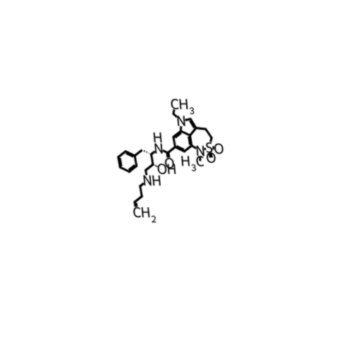 C=CCCNC[C@@H](O)[C@H](Cc1ccccc1)NC(=O)c1cc2c3c(cn(CC)c3c1)CCS(=O)(=O)N2C